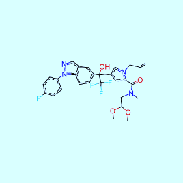 C=CCn1cc(C(O)(c2ccc3c(cnn3-c3ccc(F)cc3)c2)C(F)(F)F)cc1C(=O)N(C)CC(OC)OC